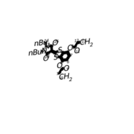 C=CC(=O)Oc1ccc(OC(=O)C=C)c2c1SC(=C1C(=O)N(CCCC)N(CCCC)C1=O)S2